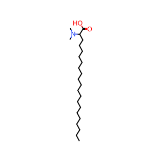 CCCCCCCCCCCCCCCCCCCC(C(=O)O)N(C)C